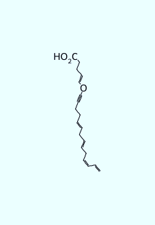 C=C/C=C\C/C=C/C/C=C/CCC#CO/C=C/CCC(=O)O